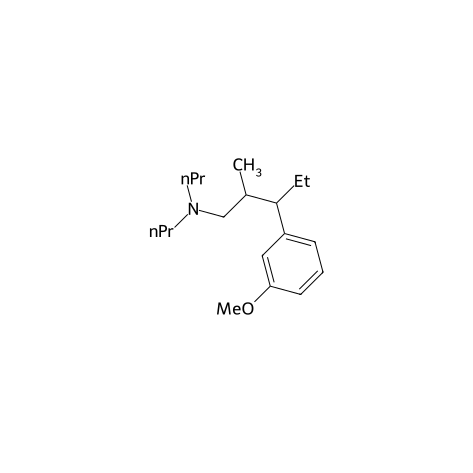 CCCN(CCC)CC(C)C(CC)c1cccc(OC)c1